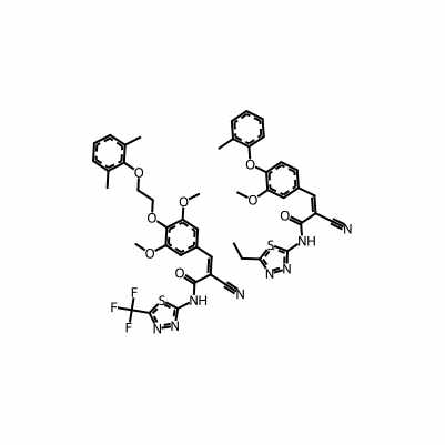 CCc1nnc(NC(=O)C(C#N)=Cc2ccc(Oc3ccccc3C)c(OC)c2)s1.COc1cc(C=C(C#N)C(=O)Nc2nnc(C(F)(F)F)s2)cc(OC)c1OCCOc1c(C)cccc1C